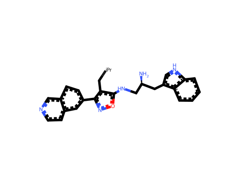 CC(C)Cc1c(-c2ccc3cnccc3c2)noc1NC[C@@H](N)Cc1c[nH]c2ccccc12